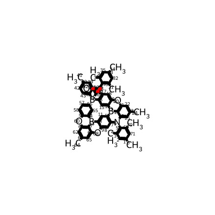 Cc1cc(C)c(N2c3cc4c(cc3B3c5cc6c(cc5Oc5cc(C)cc2c53)N(c2c(C)cc(C)cc2C)c2cc(C)cc3c2B6c2ccccc2O3)B2c3ccccc3Oc3cc(C)cc(c32)O4)c(C)c1